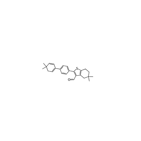 CC1(C)C=CC(c2ccc(-c3sc4c(c3C=O)CC(C)(C)CC4)cc2)=CC1